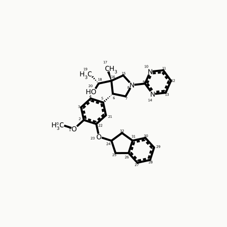 COc1ccc([C@H]2CN(c3ncccn3)C[C@@]2(C)[C@@H](C)O)cc1OC1Cc2ccccc2C1